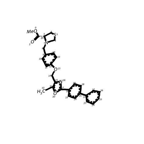 COC(=O)[C@@H]1CSCN1Cc1ccc(OCc2nc(-c3ccc(-c4ccccc4)cc3)oc2C)cc1